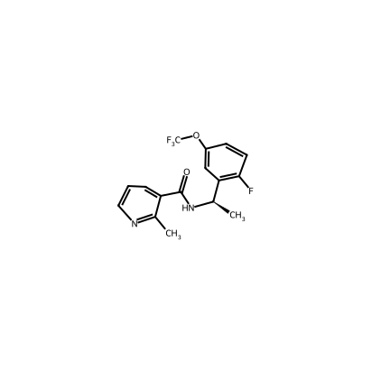 Cc1ncccc1C(=O)N[C@H](C)c1cc(OC(F)(F)F)ccc1F